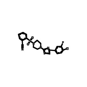 N#Cc1ccccc1S(=O)(=O)N1CCN(c2nc(-c3ccc(Cl)c(F)c3)cs2)CC1